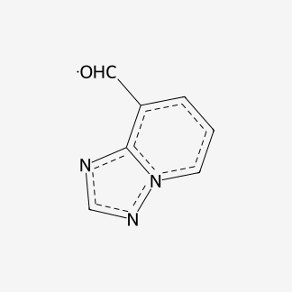 O=[C]c1cccn2ncnc12